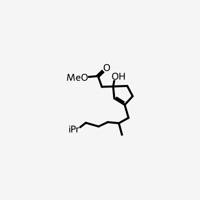 COC(=O)CC1(O)C=C(CC(C)CCCC(C)C)CC1